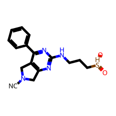 N#CN1Cc2nc(NCCC[SH](=O)=O)nc(-c3ccccc3)c2C1